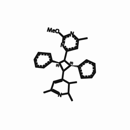 COc1nc(C)cc(C2[C@H](c3ccccc3)C(C3=CC(C)=NC(C)C3C)[C@H]2c2ccccc2)n1